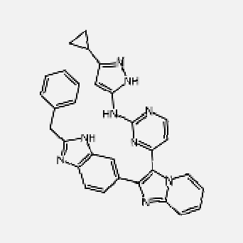 c1ccc(Cc2nc3ccc(-c4nc5ccccn5c4-c4ccnc(Nc5cc(C6CC6)n[nH]5)n4)cc3[nH]2)cc1